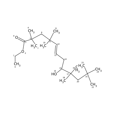 CCOC(=O)C(C)(C)CC(C)(C)C=CCC(O)C(C)(C)CC(C)(C)C